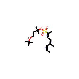 C\C=C/C(C)=C\C=C(/C)S(=O)(=O)OC(C)(C)CCOC(C)(C)C